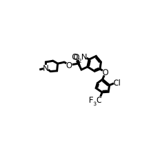 CN1CCC(COC(=O)Cc2cc(Oc3ccc(C(F)(F)F)cc3Cl)ccc2[N+](=O)[O-])CC1